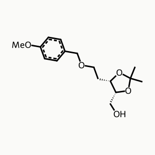 COc1ccc(COCC[C@@H]2OC(C)(C)O[C@@H]2CO)cc1